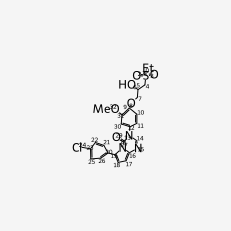 CCS(=O)(=O)CC(O)COc1ccc(-n2cnc3ccc(-c4ccc(Cl)cc4)n3c2=O)cc1OC